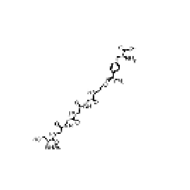 CC(=O)N[C@@H](CO)C(=O)NCC(=O)NCC(=O)NCC(=O)NCC(=O)NCCO/N=C(\C)c1ccc(C[C@H](N)C(=O)C(C)C)cc1